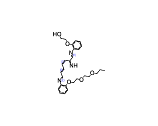 CCCOCCOCCOc1ccccc1/N=C/C=C/C=C\C(=N)/C=N/c1ccccc1OCCO